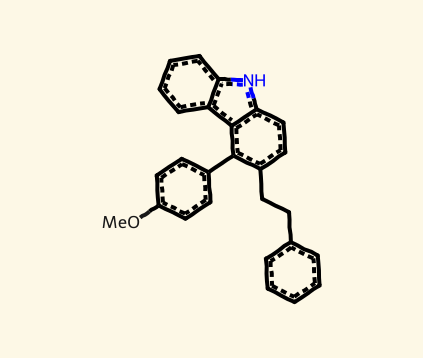 COc1ccc(-c2c(CCc3ccccc3)ccc3[nH]c4ccccc4c23)cc1